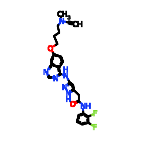 C#CN(C)CCCCOc1ccc2c(Nc3cc(CC(=O)Nc4cccc(F)c4F)[nH]n3)ncnc2c1